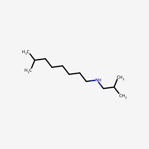 CC(C)CCCCCCNCC(C)C